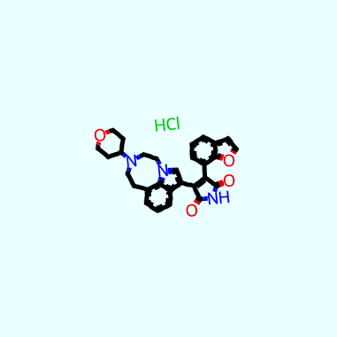 Cl.O=C1NC(=O)C(c2cccc3ccoc23)=C1c1cn2c3c(cccc13)CCN(C1CCOCC1)CC2